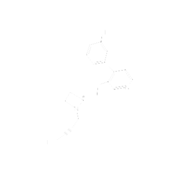 CC#CCN1CC[C@@H]1COc1cnccc1-c1[c]c(Cl)ccc1